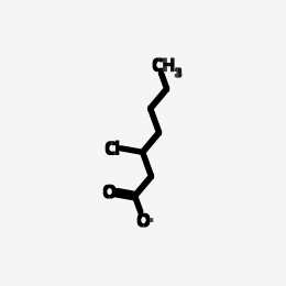 CCCCC(Cl)CC([O])=O